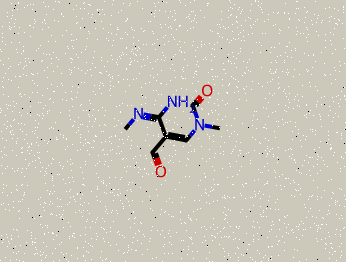 C/N=C(N)\C(C=O)=C/N(C)C=O